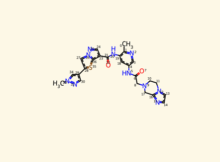 Cc1ncc(NC(=O)CN2CCn3ccnc3C2)cc1NC(=O)c1cnn2cc(-c3cnn(C)c3)sc12